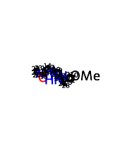 COc1ccc(C2(c3nc4ccc(N5CCCC(C(=O)N6CCCC6)C5)nc4[nH]3)CC2)cc1